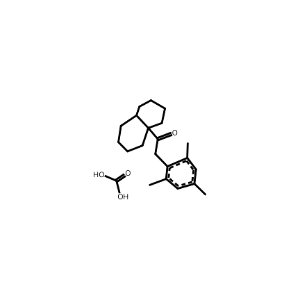 Cc1cc(C)c(CC(=O)C23CCCCC2CCCC3)c(C)c1.O=C(O)O